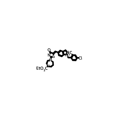 CCOC(=O)N1CCCN(C2=NC(=O)/C(=C/c3ccc4c(cnn4Cc4ccc(Cl)cc4C(F)(F)F)c3)S2)CC1